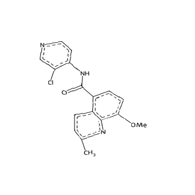 COc1ccc(C(=O)Nc2ccncc2Cl)c2ccc(C)nc12